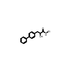 CCNC(=O)C(O)Cc1ccc(-c2ccccc2)cc1